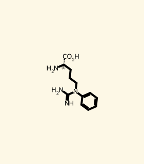 N=C(N)N(CCC[C@H](N)C(=O)O)c1ccccc1